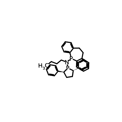 CCCCN(P1c2ccccc2CCc2ccccc21)P1[C@H](c2ccccc2)CC[C@H]1c1ccccc1